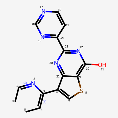 C/C=N\C(=C/C)c1csc2c(O)nc(-c3ccncn3)nc12